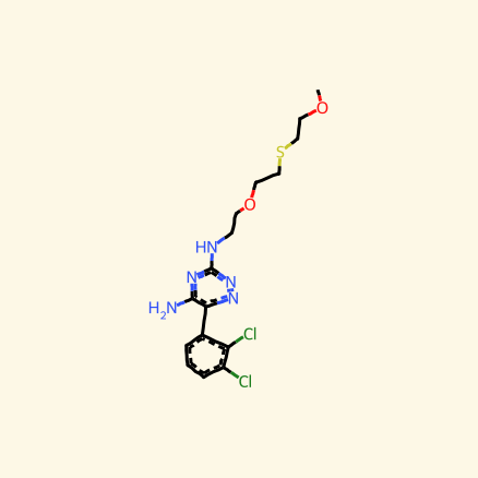 COCCSCCOCCNc1nnc(-c2cccc(Cl)c2Cl)c(N)n1